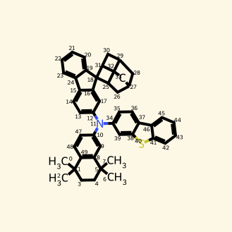 CC1(C)CCC(C)(C)c2cc(N(c3ccc4c(c3)C3(c5ccccc5-4)C4CC5CC6CC3C64C5)c3ccc4c(c3)sc3ccccc34)ccc21